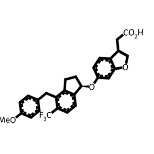 COc1ccc(Cc2c(C(F)(F)F)ccc3c2CC[C@H]3Oc2ccc3c(c2)OCC3CC(=O)O)cc1